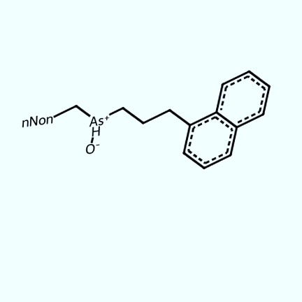 CCCCCCCCCC[AsH+]([O-])CCCc1cccc2ccccc12